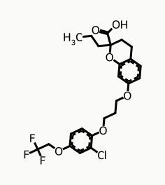 CCCC1(C(=O)O)CCc2ccc(OCCCOc3ccc(OCC(F)(F)F)cc3Cl)cc2O1